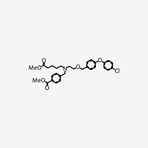 COC(=O)CCCCN(CCOCc1ccc(Oc2ccc(Cl)cc2)cc1)Cc1ccc(C(=O)OC)cc1